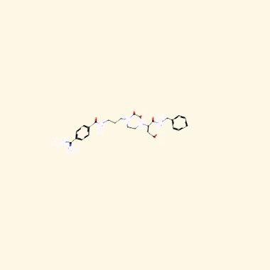 N=C(N)c1ccc(C(=O)NCCCN2CCN(C(CC(=O)O)C(=O)NCc3ccccc3)C(=O)C2=O)cc1